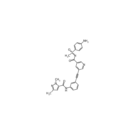 Cc1cc(C(=O)Nc2cccc(C#Cc3cncc(C(=O)N=S(C)(=O)c4ccc(N)cc4)c3)c2)n(C)n1